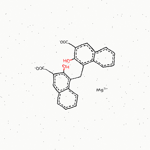 O=C([O-])c1cc2ccccc2c(Cc2c(O)c(C(=O)[O-])cc3ccccc23)c1O.[Mg+2]